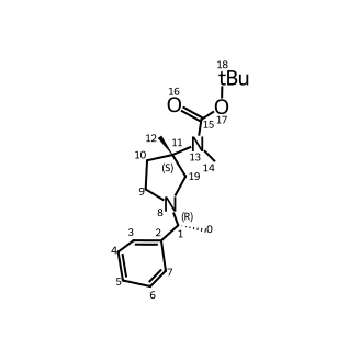 C[C@H](c1ccccc1)N1CC[C@](C)(N(C)C(=O)OC(C)(C)C)C1